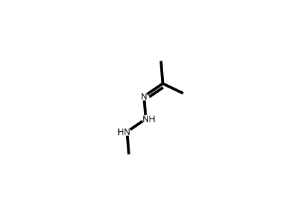 CNNN=C(C)C